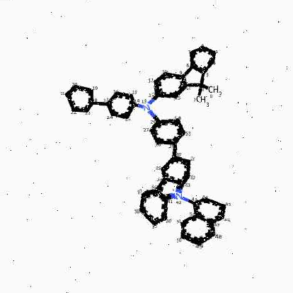 CC1(C)c2ccccc2-c2ccc(N(c3ccc(-c4ccccc4)cc3)c3ccc(-c4ccc5c(c4)c4ccccc4n5-c4cccc5ccccc45)cc3)cc21